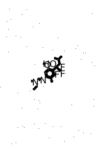 CCN(C)/C=N/c1cc(OC)c(C(O)(CC(C)C)C(F)(F)F)cc1C